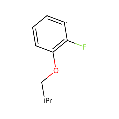 CC(C)COc1ccc[c]c1F